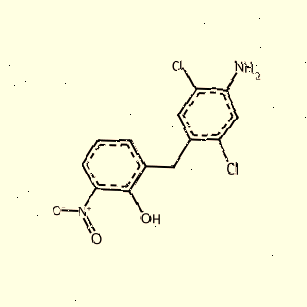 Nc1cc(Cl)c(Cc2cccc([N+](=O)[O-])c2O)cc1Cl